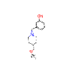 COCC1CCN(Cc2cccc(O)c2)CC1